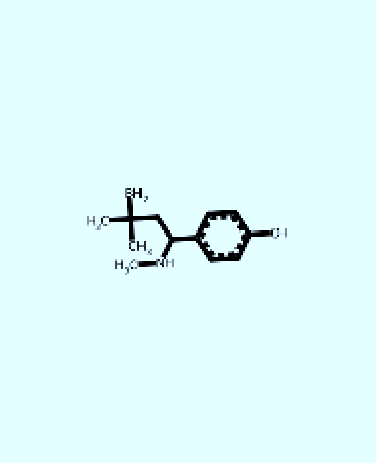 BC(C)(C)CC(NC)c1ccc(O)cc1